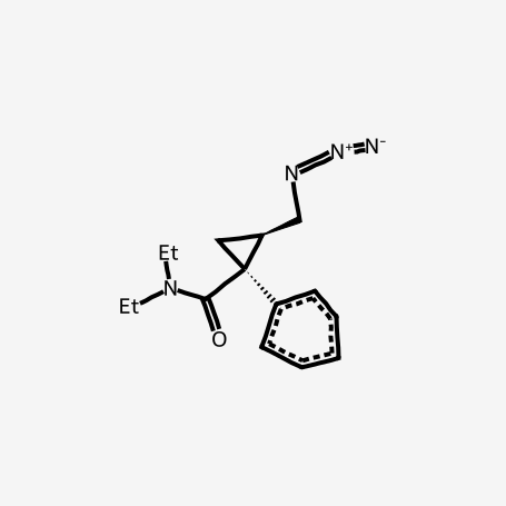 CCN(CC)C(=O)[C@@]1(c2ccccc2)C[C@H]1CN=[N+]=[N-]